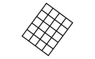 C1C2C3C4CC5C6C7C8CC9C%10C%11CC%12C%13C%14C1C21C32C45C63C74C98C%105C%11%12C%136C%141C23C564